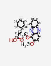 COc1ccc2nc3ccccc3nc2c1OC.O=C(O)C=Cc1ccccc1